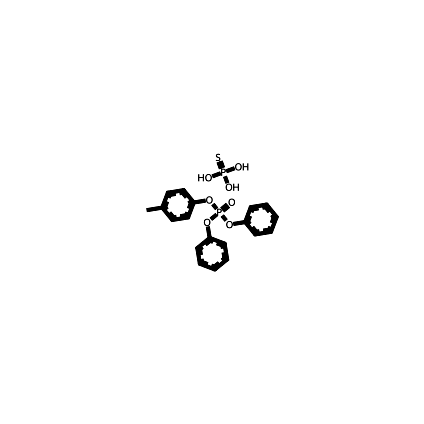 Cc1ccc(OP(=O)(Oc2ccccc2)Oc2ccccc2)cc1.OP(O)(O)=S